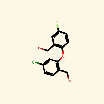 Fc1ccc(Oc2cc(Cl)ccc2CBr)c(CBr)c1